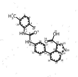 Cc1ccc(F)c(NC(=O)Nc2ccc(-c3cccn4nnc(C(=O)O)c34)cc2)c1